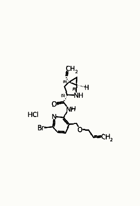 C=CCOCc1ccc(Br)nc1NC(=O)[C@@H]1C[C@@]2(C=C)C[C@H]2N1.Cl